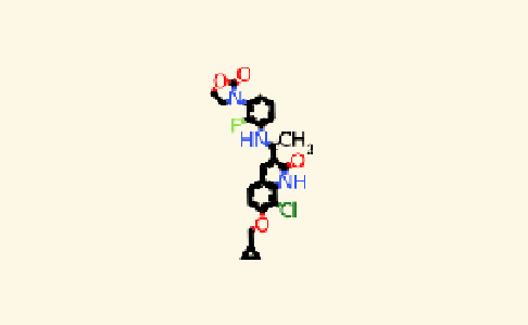 C[C@H](Nc1cccc(N2CCOC2=O)c1F)c1cc2ccc(OCC3CC3)c(Cl)c2[nH]c1=O